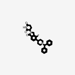 O=C1CCC(N2Cc3c(ccc(C4CCN(C(c5ccccc5)c5ccccc5)CC4)c3F)C2=O)C(=O)N1